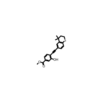 COC(=O)c1ccc(C#Cc2ccc3c(c2)C(C)(C)CCS3)c(O)c1